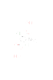 O=C(OCCO)c1cc(Cl)c(C(=O)OCCO)c([N+](=O)[O-])c1Cl